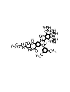 [2H]C([2H])([2H])Oc1cc(C(=O)Nc2cc3c(cc2Oc2cc(C)cc(C)c2)C(=O)NC(CC(=O)NCOC)C(=O)N3)c(Br)c(OC([2H])([2H])[2H])c1OC([2H])([2H])[2H]